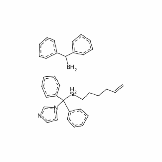 BC(c1ccccc1)c1ccccc1.C=CCCCC[SiH2]C(c1ccccc1)(c1ccccc1)n1ccnc1